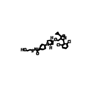 O=C(NSCCO)c1ccc(N2C[C@@H]3C[C@H]2C[C@H]3OCc2c(-c3c(Cl)cccc3Cl)noc2C2CC2)cc1